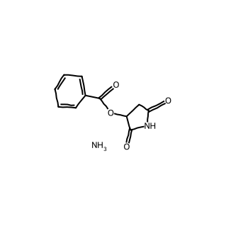 N.O=C1CC(OC(=O)c2ccccc2)C(=O)N1